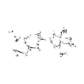 CNc1ccc(B2OC(C)(C)C(C)(C)O2)cc1C=N